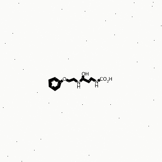 O=C(O)NCCC(O)NCCOc1ccccc1